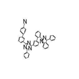 N#Cc1ccc(-c2cccc(-c3nc(-c4ccccc4)nc(-c4cccc(-c5ccccc5-c5nc(-c6ccccc6)c6ccccc6n5)c4)n3)c2)cc1